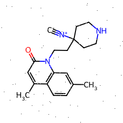 [C-]#[N+]C1(CCn2c(=O)cc(C)c3ccc(C)cc32)CCNCC1